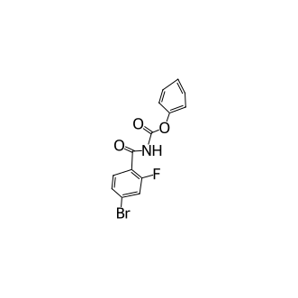 O=C(NC(=O)c1ccc(Br)cc1F)Oc1ccccc1